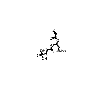 C=CC(=O)OC(CCCCCCCCCC)OC(=O)CCP(=O)(O)O